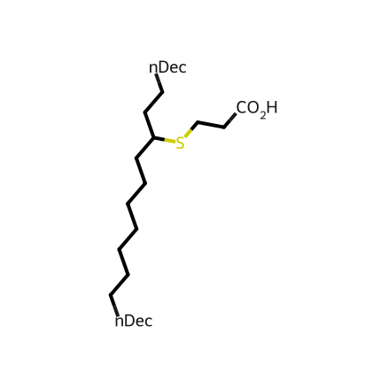 CCCCCCCCCCCCCCCCCC(CCCCCCCCCCCC)SCCC(=O)O